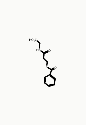 O=C(O)CNC(=O)CCSC(=O)c1ccccc1